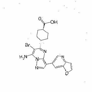 Nc1c(Br)c([C@H]2CC[C@H](C(=O)O)CC2)nc2c(-c3cnc4ccoc4c3)cnn12